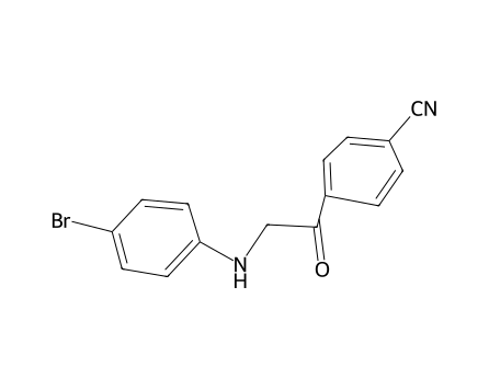 N#Cc1ccc(C(=O)CNc2ccc(Br)cc2)cc1